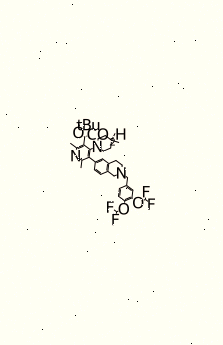 Cc1nc(C)c([C@H](OC(C)(C)C)C(=O)O)c(N2CCC(C)(C)CC2)c1-c1ccc2c(c1)CCN(Cc1ccc(OC(F)F)c(OC(F)F)c1)C2